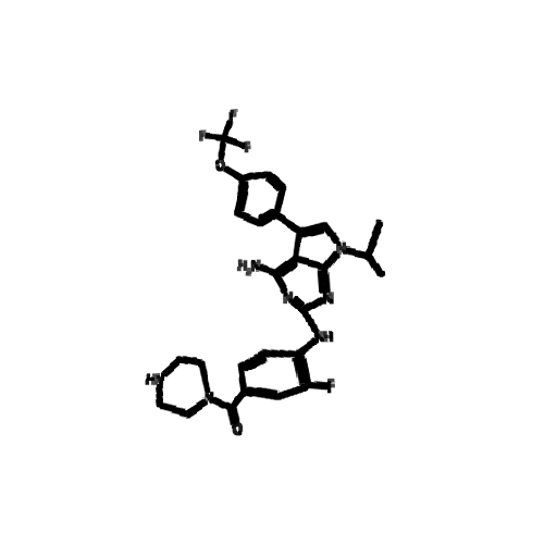 CC(C)n1cc(-c2ccc(OC(F)(F)F)cc2)c2c(N)nc(Nc3ccc(C(=O)N4CCNCC4)cc3F)nc21